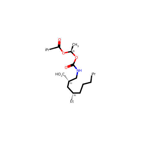 CC[C@@H](CCCC(C)C)C[C@@H](CNC(=O)O[C@H](C)OC(=O)C(C)C)C(=O)O